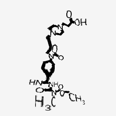 CCOC(=O)N(C)C(=O)NC(=N)c1ccc(N2CC(CN3CCN(CCC(=O)O)CC3)OC2=O)cc1